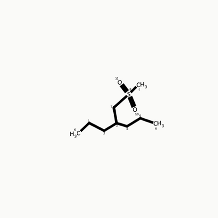 CCCC(CCC)CS(C)(=O)=O